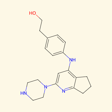 OCCc1ccc(Nc2cc(N3CCNCC3)nc3c2CCC3)cc1